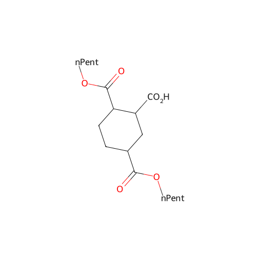 CCCCCOC(=O)C1CCC(C(=O)OCCCCC)C(C(=O)O)C1